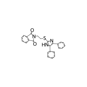 O=C1c2ccccc2C(=O)N1CCSc1nc(-c2ccccc2)c(-c2ccccc2)[nH]1